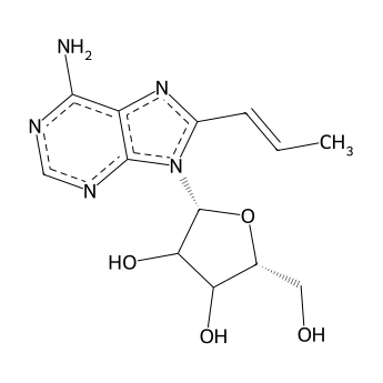 CC=Cc1nc2c(N)ncnc2n1[C@@H]1O[C@H](CO)C(O)C1O